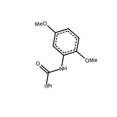 CCCC(=O)Nc1cc(OC)ccc1OC